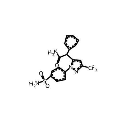 NC(=O)C(c1ccccc1)c1cc(C(F)(F)F)nn1-c1ccc(S(N)(=O)=O)cc1